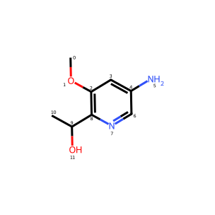 COc1cc(N)cnc1C(C)O